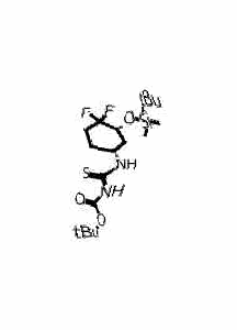 CC(C)(C)OC(=O)NC(=S)N[C@@H]1CCC(F)(F)[C@H](O[Si](C)(C)C(C)(C)C)C1